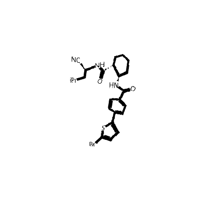 CC(C)C[C@@H](C#N)NC(=O)[C@@H]1CCCC[C@@H]1NC(=O)c1ccc(-c2ccc(Br)s2)cc1